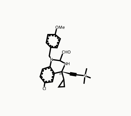 COc1ccc(CN2c3ccc(Cl)cc3[C@@](C#C[Si](C)(C)C)(C3CC3)NC2C=O)cc1